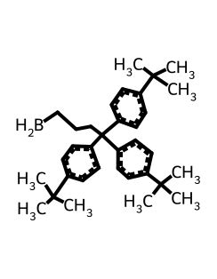 BCCCC(c1ccc(C(C)(C)C)cc1)(c1ccc(C(C)(C)C)cc1)c1ccc(C(C)(C)C)cc1